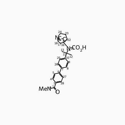 CNC(=O)c1ccc(-c2ccc(C(C)(C)N(C(=O)O)C3CCN4CCC3CC4)cc2)cc1